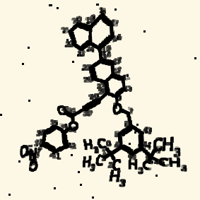 CC(C)(C)c1cc(COc2ccc3cc(-c4cccc5ccccc45)ccc3c2C#CC(=O)Oc2ccc([N+](=O)[O-])cc2)cc(C(C)(C)C)c1